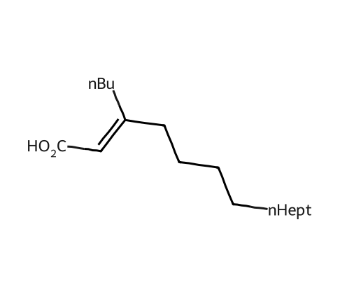 CCCCCCCCCCCC(=CC(=O)O)CCCC